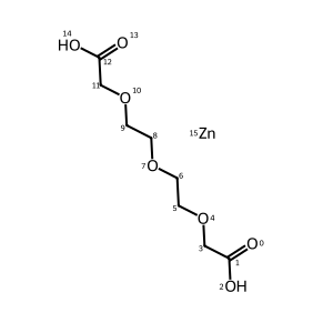 O=C(O)COCCOCCOCC(=O)O.[Zn]